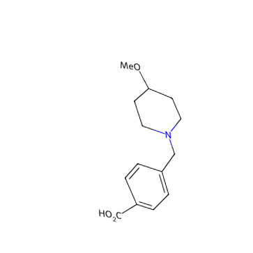 COC1CCN(Cc2ccc(C(=O)O)cc2)CC1